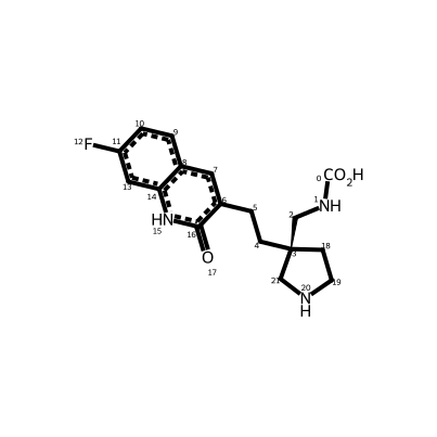 O=C(O)NC[C@@]1(CCc2cc3ccc(F)cc3[nH]c2=O)CCNC1